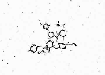 C=CCOc1ccc(C[C@H](NC(=O)[C@@H]2C[C@H](n3cc(CC)nn3)CN2C(=O)[C@@H](NC(=O)[C@H](C)NC)C(C)C)C(=O)N[C@@H](Cc2ccc(C)cc2)C(=O)O)cc1